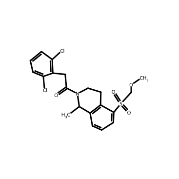 COCS(=O)(=O)c1cccc2c1CCN(C(=O)Cc1c(Cl)cccc1Cl)C2C